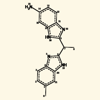 Cc1ccc2nc(C(C)c3nc4ccc(N)cc4[nH]3)[nH]c2c1